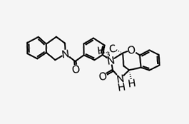 C[C@]12C[C@H](NC(=O)N1c1cccc(C(=O)N3CCc4ccccc4C3)c1)c1ccccc1O2